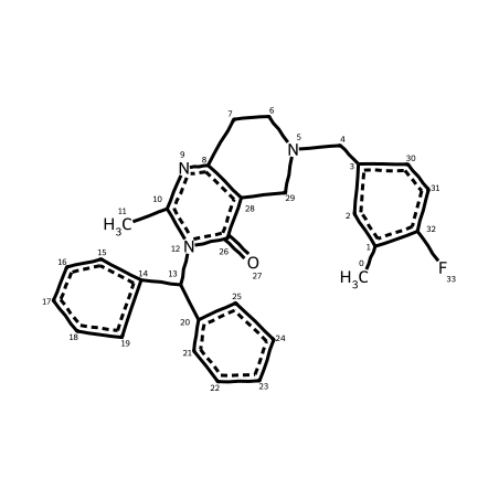 Cc1cc(CN2CCc3nc(C)n(C(c4ccccc4)c4ccccc4)c(=O)c3C2)ccc1F